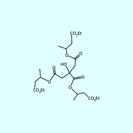 CCOC(=O)CC(C)OC(=O)CC(O)(CC(=O)OC(C)CC(=O)OCC)C(=O)OC(C)CC(=O)OCC